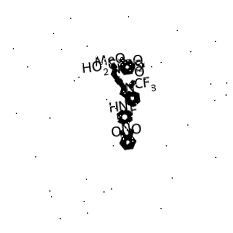 COc1cc(S(C)(=O)=O)ccc1N(CC#Cc1cc2c(NC3CCC(N4C(=O)c5ccccc5C4=O)CC3F)cccc2n1CC(F)(F)F)C(=O)O